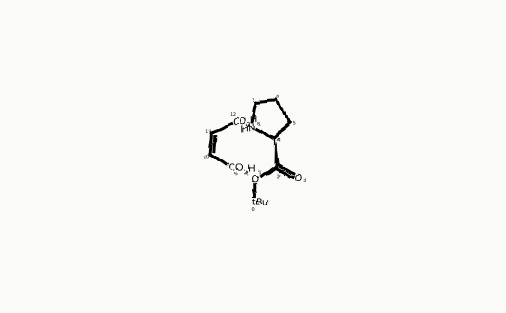 CC(C)(C)OC(=O)[C@@H]1CCCN1.O=C(O)/C=C\C(=O)O